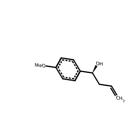 C=CC[C@H](O)c1ccc(OC)cc1